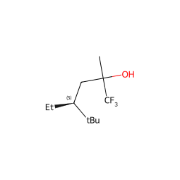 CC[C@@H](CC(C)(O)C(F)(F)F)C(C)(C)C